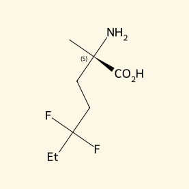 CCC(F)(F)CC[C@](C)(N)C(=O)O